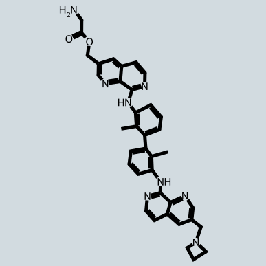 Cc1c(Nc2nccc3cc(COC(=O)CN)cnc23)cccc1-c1cccc(Nc2nccc3cc(CN4CCC4)cnc23)c1C